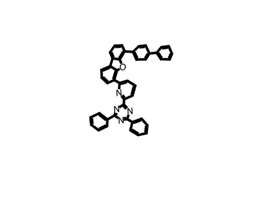 c1ccc(-c2ccc(-c3cccc4c3oc3c(-c5cccc(-c6nc(-c7ccccc7)nc(-c7ccccc7)n6)n5)cccc34)cc2)cc1